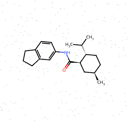 CC(C)[C@@H]1CC[C@@H](C)C[C@H]1C(=O)Nc1ccc2c(c1)CCC2